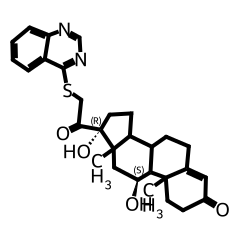 CC12CCC(=O)C=C1CCC1C2[C@@H](O)CC2(C)C1CC[C@]2(O)C(=O)CSc1ncnc2ccccc12